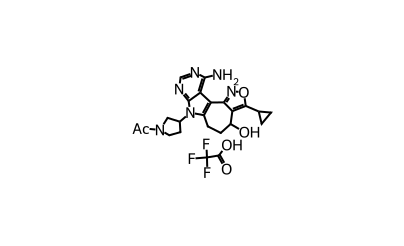 CC(=O)N1CCC(n2c3c(c4c(N)ncnc42)-c2noc(C4CC4)c2C(O)CC3)C1.O=C(O)C(F)(F)F